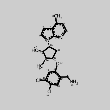 Cc1ccnc2c1ccn2[C@@H]1C[C@H](Oc2cc(Cl)c(Cl)cc2CN)[C@@H](O)[C@H]1O